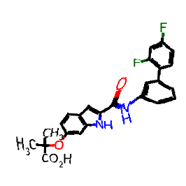 CC(C)(Oc1ccc2cc(C(=O)Nc3cccc(-c4ccc(F)cc4F)c3)[nH]c2c1)C(=O)O